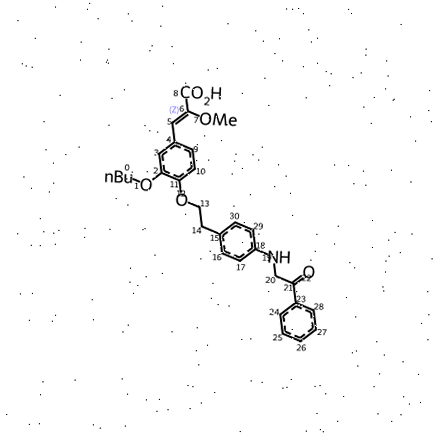 CCCCOc1cc(/C=C(\OC)C(=O)O)ccc1OCCc1ccc(NCC(=O)c2ccccc2)cc1